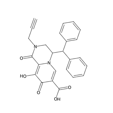 C#CCN1CC(C(c2ccccc2)c2ccccc2)n2cc(C(=O)O)c(=O)c(O)c2C1=O